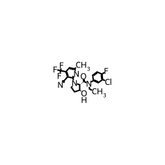 CCN(C(=O)[C@@H]1[C@H](O)CCN1c1nc(C)cc(C(F)(F)F)c1C#N)c1ccc(F)c(Cl)c1